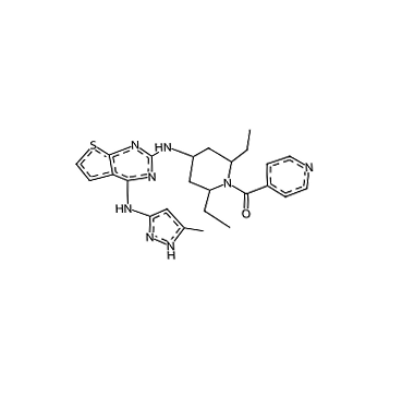 CCC1CC(Nc2nc(Nc3cc(C)[nH]n3)c3ccsc3n2)CC(CC)N1C(=O)c1ccncc1